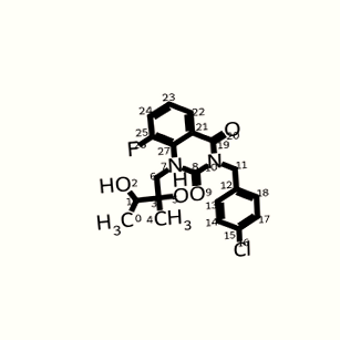 CC(O)C(C)(O)Cn1c(=O)n(Cc2ccc(Cl)cc2)c(=O)c2cccc(F)c21